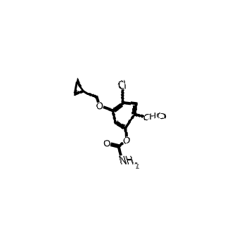 NC(=O)Oc1cc(OCC2CC2)c(Cl)cc1C=O